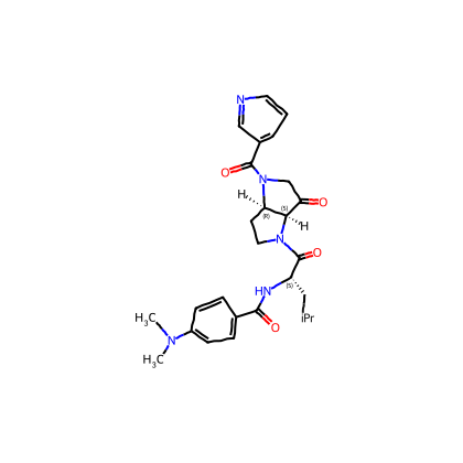 CC(C)C[C@H](NC(=O)c1ccc(N(C)C)cc1)C(=O)N1CC[C@@H]2[C@H]1C(=O)CN2C(=O)c1cccnc1